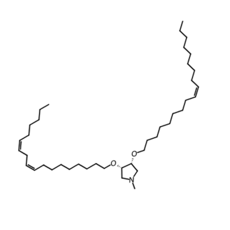 CCCCC/C=C\C/C=C\CCCCCCCCO[C@H]1CN(C)C[C@H]1OCCCCCCCC/C=C\CCCCCCCC